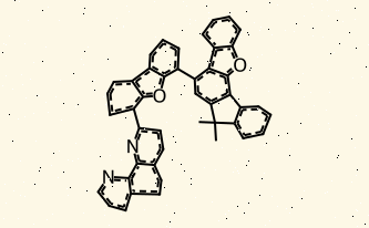 CC1(C)c2ccccc2-c2c1cc(-c1cccc3c1oc1c(-c4ccc5ccc6cccnc6c5n4)cccc13)c1c2oc2ccccc21